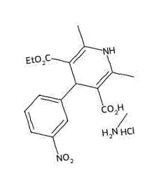 CCOC(=O)C1=C(C)NC(C)=C(C(=O)O)C1c1cccc([N+](=O)[O-])c1.CN.Cl